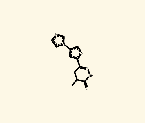 CC1CC(c2cc(-n3ccnc3)cs2)=NNC1=O